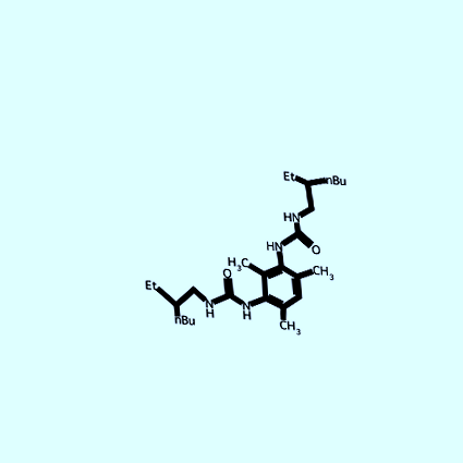 CCCCC(CC)CNC(=O)Nc1c(C)cc(C)c(NC(=O)NCC(CC)CCCC)c1C